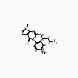 Cn1cnc2c(=O)n(-c3ccc(C#N)cc3)c(SCCCC(F)(F)F)nc21